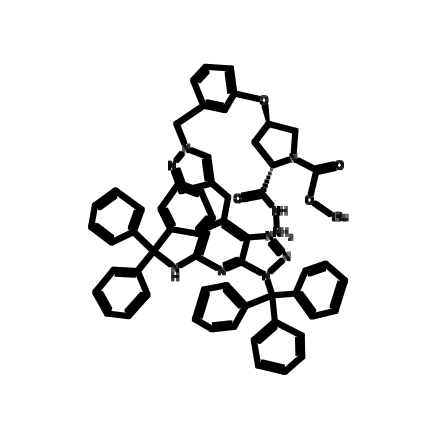 CC(C)(C)OC(=O)N1C[C@H](Oc2cccc(Cn3cc(Cc4cc(NC(c5ccccc5)(c5ccccc5)c5ccccc5)nc5c4nnn5C(c4ccccc4)(c4ccccc4)c4ccccc4)cn3)c2)C[C@H]1C(=O)NN